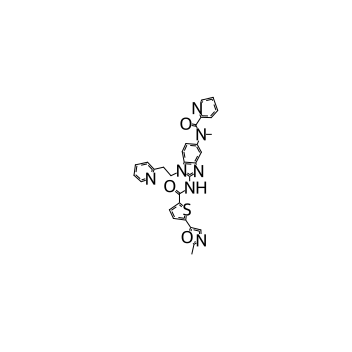 Cc1ncc(-c2ccc(C(=O)Nc3nc4cc(N(C)C(=O)c5ccccn5)ccc4n3CCc3ccccn3)s2)o1